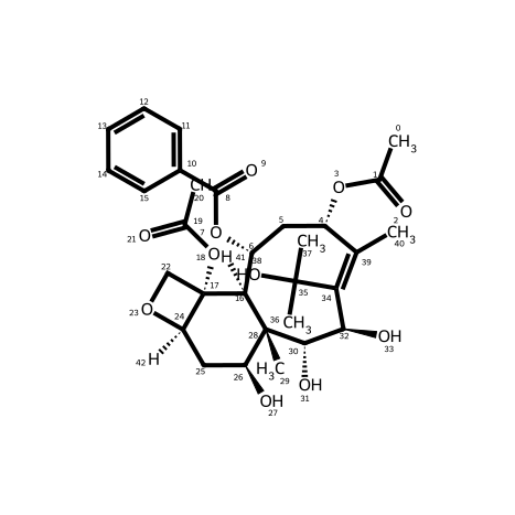 CC(=O)O[C@H]1C[C@@H](OC(=O)c2ccccc2)[C@@H]2[C@]3(OC(C)=O)CO[C@@H]3C[C@H](O)[C@@]2(C)[C@@H](O)[C@H](O)/C(C(C)(C)O)=C/1C